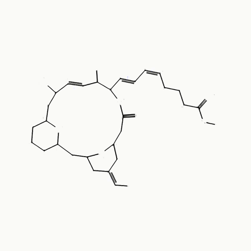 C/C=C1\CC2CC(=O)OC(/C=C/C=C\CCCC(=O)NO)C(C)/C=C/C(C)CC3CCCC(CC(C1)O2)O3